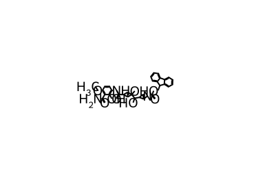 COc1ccc(NC(=O)C2C3C2C3(O)C(O)C2C3C2N3C(=O)OCC2c3ccccc3-c3ccccc32)c(O)c1C(N)=O